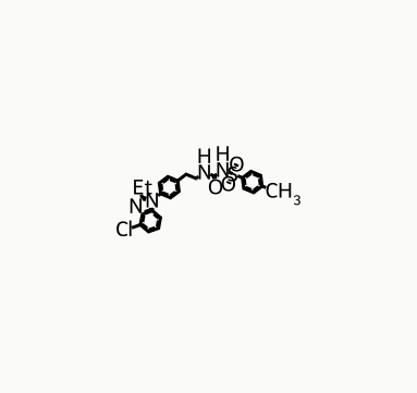 CCc1nc2c(Cl)cccc2n1-c1ccc(CCNC(=O)NS(=O)(=O)c2ccc(C)cc2)cc1